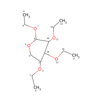 CCOC1COC(OCC)C(OCC)C1OCC